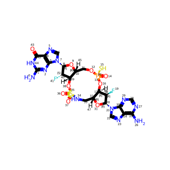 Nc1nc2c(ncn2[C@@H]2O[C@@H]3CO[P@@](=O)(S)O[C@H]4[C@@H](F)[C@H](n5cnc6c(N)ncnc65)O[C@@H]4CNS(=O)(=O)O[C@H]3[C@@H]2F)c(=O)[nH]1